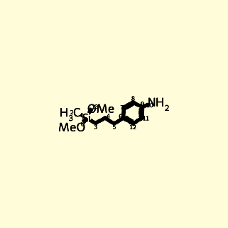 CO[Si](C)(CCCc1ccc(N)cc1)OC